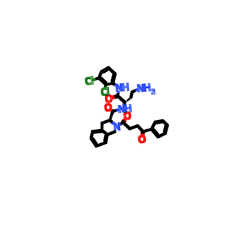 NCC[C@H](NC(=O)[C@@H]1Cc2ccccc2CN1C(=O)CCC(=O)c1ccccc1)C(=O)Nc1cccc(Cl)c1Cl